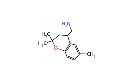 Cc1ccc2c(c1)C(CN)CC(C)(C)O2